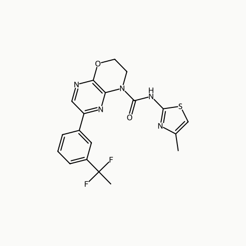 Cc1csc(NC(=O)N2CCOc3ncc(-c4cccc(C(C)(F)F)c4)nc32)n1